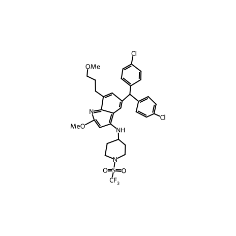 COCCCc1cc(C(c2ccc(Cl)cc2)c2ccc(Cl)cc2)cc2c(NC3CCN(S(=O)(=O)C(F)(F)F)CC3)cc(OC)nc12